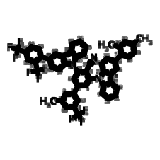 Cc1cc(-c2cc(-n3c4ccccc4c4cc(-c5ccc(C)cc5C)ccc43)c(C#N)c(-n3c4ccccc4c4cc(-c5ccc(C(F)(F)F)cc5C(F)(F)F)ccc43)c2)cc(C(F)(F)F)c1